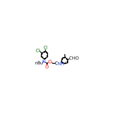 CCCCN(C(=O)OCCNc1ccc(C=O)c(C)c1)c1ccc(Cl)c(Cl)c1